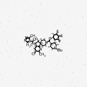 Cc1nc2c(cc1Cl)[C@H](C(C)(C)n1cnnc1C)CC21CCN(C(=O)[C@@H]2CCN(C(C)(C)C)C[C@H]2c2ccc(F)c(F)c2F)CC1